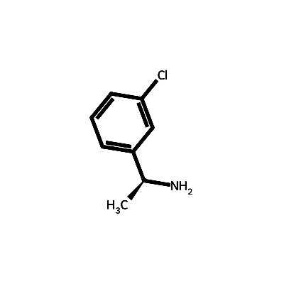 C[C@H](N)c1cccc(Cl)c1